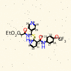 CCOC(=O)CC(=O)NC(Sc1ncccc1C(=O)Nc1ccc(OC(F)(F)F)cc1)c1ccncc1